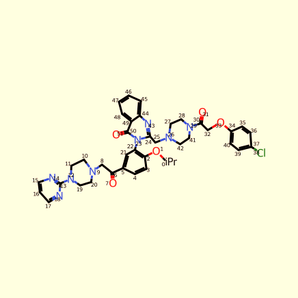 CC(C)Oc1ccc(C(=O)CN2CCN(c3ncccn3)CC2)cc1-n1c(CN2CCN(C(=O)COc3ccc(Cl)cc3)CC2)nc2ccccc2c1=O